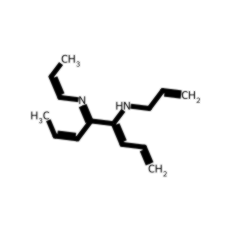 C=C/C=C(NCC=C)/C(/C=C\C)=N/C=C\C